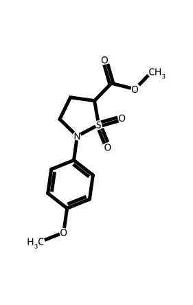 COC(=O)C1CCN(c2ccc(OC)cc2)S1(=O)=O